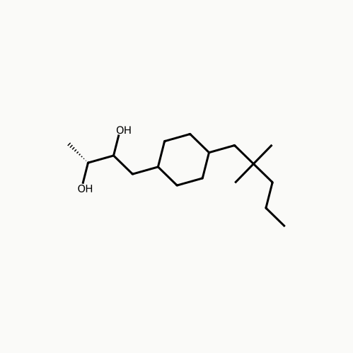 CCCC(C)(C)CC1CCC(CC(O)[C@@H](C)O)CC1